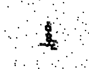 CO/C=C(/C(=O)OC)c1sc2nc(-c3ccc(C(F)(F)F)cc3)nn2c1C